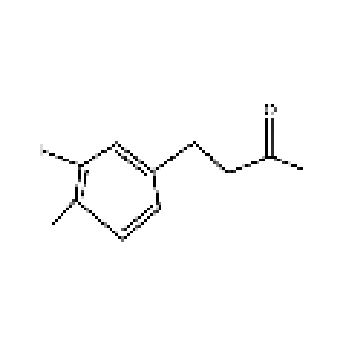 CC(=O)CCc1ccc(C)c(I)c1